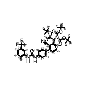 CC(C)(C)OC(=O)N(C(=O)OC(C)(C)C)N(C(=O)OC(C)(C)C)c1nccc(-c2ccc(NC(=O)Nc3cc(C(F)(F)F)ccc3F)cc2)c1C#N